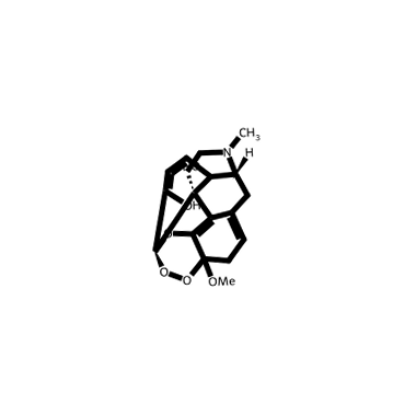 COC12CC=C3C[C@H]4N(C)CC[C@]56C3=C1O[C@@]5(OO2)C(O)=C=C[C@@]46O